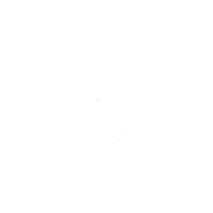 Nc1n[nH]c2nc(Nc3ccc(Cl)c(C(F)F)c3)c(F)cc12